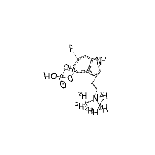 [2H]C([2H])([2H])N(CCc1c[nH]c2cc(F)cc(OP(=O)(O)O)c12)C([2H])([2H])[2H]